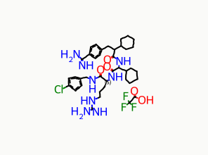 N=C(N)NCCC[C@H](NC(=O)C(NC(=O)C(Cc1ccc(C(=N)N)cc1)C1CCCCC1)C1CCCCC1)C(=O)NCc1ccc(Cl)cc1.O=C(O)C(F)(F)F